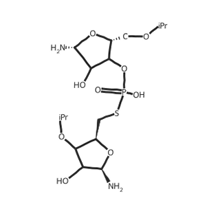 CC(C)OC[C@H]1O[C@@H](N)C(O)C1OP(=O)(O)SC[C@H]1O[C@@H](N)C(O)C1OC(C)C